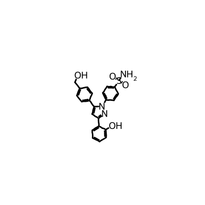 NS(=O)(=O)c1ccc(-n2nc(-c3ccccc3O)cc2-c2ccc(CO)cc2)cc1